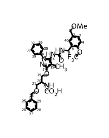 COCc1ccc(OC(F)(F)F)c(CNC(=O)Nc2c(C)c(OCC(COCc3ccccc3)NC(=O)O)nn2-c2ccccc2)c1